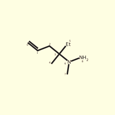 C=CCC(C)(CC)N(C)N